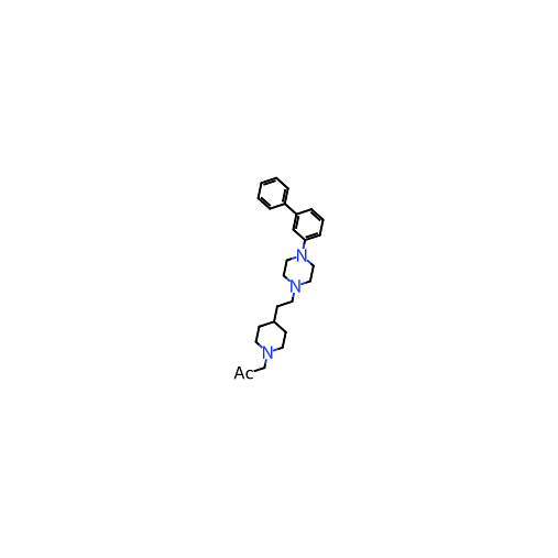 CC(=O)CN1CCC(CCN2CCN(c3cccc(-c4ccccc4)c3)CC2)CC1